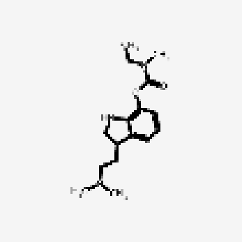 CCN(C)C(=O)Oc1cccc2c1NCC2CCN(C)C